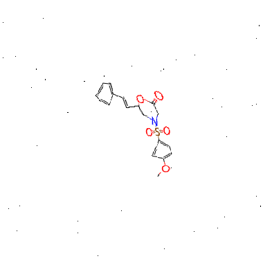 COc1ccc(S(=O)(=O)N2CC(=O)OC(/C=C/c3ccccc3)C2)cc1